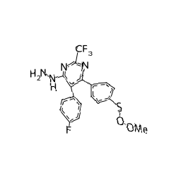 COOSc1ccc(-c2nc(C(F)(F)F)nc(NN)c2-c2ccc(F)cc2)cc1